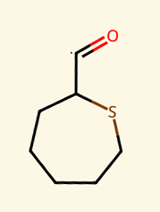 O=[C]C1CCCCCS1